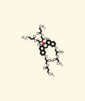 CCCC(=O)OCC(O)COc1ccc2ccc(OCC(O)COC(=O)CCC)c(Cc3c(OCC(O)COC(=O)CCC)ccc4ccc(OCC(O)COC(=O)CC)cc34)c2c1